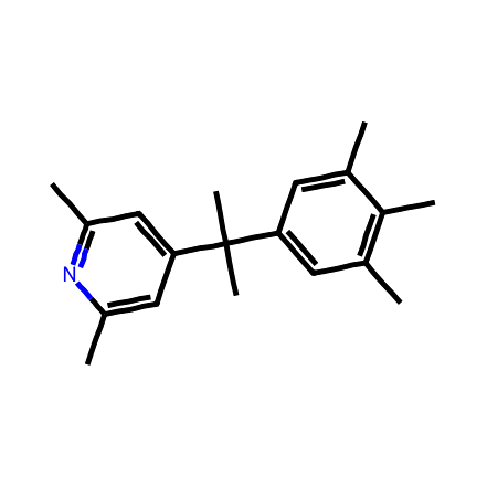 Cc1cc(C(C)(C)c2cc(C)c(C)c(C)c2)cc(C)n1